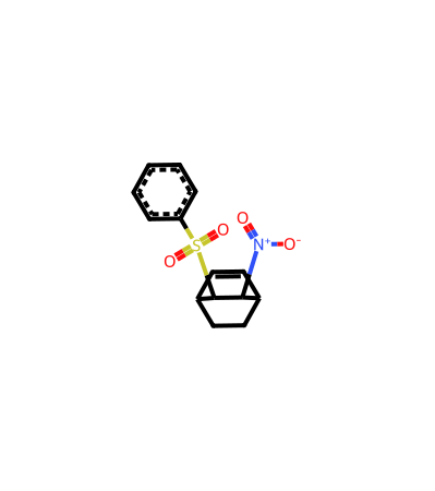 O=[N+]([O-])C1C2C=CC(CC2)C1S(=O)(=O)c1ccccc1